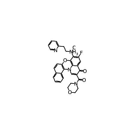 CN(CCc1ccccn1)c1c(F)cc2c(=O)c(C(=O)N3CCOCC3)cn3c2c1Oc1ccc2ccccc2c1-3